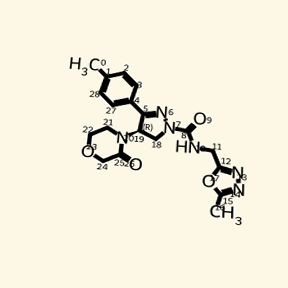 Cc1ccc(C2=NN(C(=O)NCc3nnc(C)o3)C[C@H]2N2CCOCC2=O)cc1